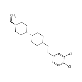 C=C[C@H]1CC[C@H](C2CCC(CCc3ccc(Cl)c(Cl)c3)CC2)CC1